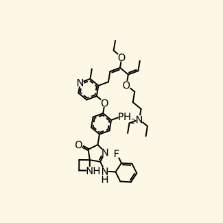 C/C=C(OCCCN(CC)CC)\C(=C/Cc1c(Oc2ccc(C3N=C(NC4CC=CC=C4F)C4(CCN4)C3=O)cc2P)ccnc1C)OCC